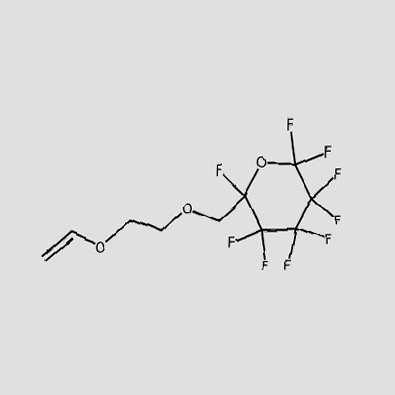 C=COCCOCC1(F)OC(F)(F)C(F)(F)C(F)(F)C1(F)F